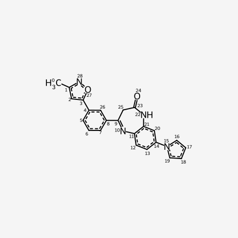 Cc1cc(-c2cccc(C3=Nc4ccc(-n5cccc5)cc4NC(=O)C3)c2)on1